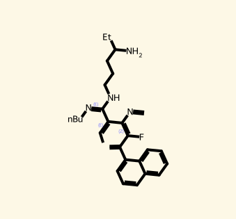 C=NC(=C(\F)C(=C)c1cccc2ccccc12)/C(=C\C)C(=N\CCCC)/NCCCC(N)CC